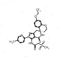 Cc1ccc(-n2nc3c(c2NC(=O)CS(C)(=O)=O)C(=O)N[C@@]2(CCOc4cc(OCC(F)(F)F)ccc42)C3)nc1